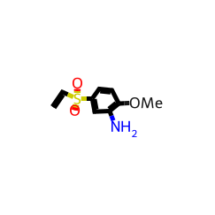 C=CS(=O)(=O)c1ccc(OC)c(N)c1